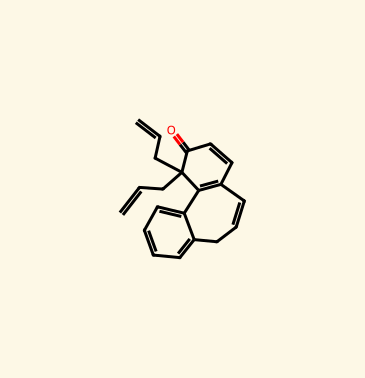 C=CCC1(CC=C)C(=O)C=CC2=C1c1ccccc1CC=C2